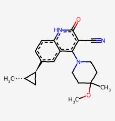 COC1(C)CCN(c2c(C#N)c(=O)[nH]c3ccc([C@H]4C[C@@H]4C)cc23)CC1